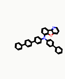 c1ccc(-c2ccc(-c3ccc(N(c4ccc(-c5ccccc5)cc4)c4cccc5c4oc4cccnc45)cc3)cc2)cc1